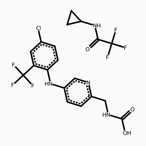 O=C(NC1CC1)C(F)(F)F.O=C(O)NCc1ccc(Nc2ccc(Cl)cc2C(F)(F)F)cn1